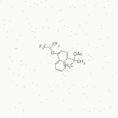 CC(=O)OC(C)(C)c1ccc(OC(C(F)(F)F)C(F)(F)F)c2ccccc12